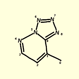 Cc1ccnn2nnnc12